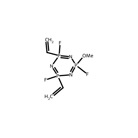 C=CP1(F)=NP(F)(C=C)=NP(F)(OC)=N1